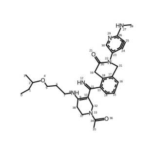 CCC(C)OCCCNC1=C(C(=N)c2cccc3c2CC(=O)N(c2c#cc(NC)nc2)C3)CN(C(C)=O)CC1